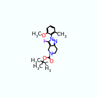 COc1cccc(C)c1-n1nc2c(c1I)CN(C(=O)OC(C)(C)C)CC2